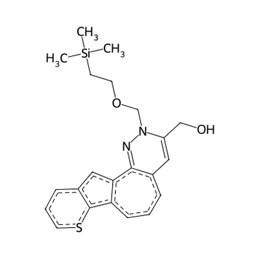 C[Si](C)(C)CCOCN1N=c2c(cccc3c2cc2cccsc23)C=C1CO